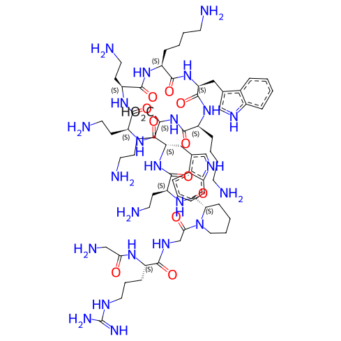 N=C(N)NCCC[C@H](NC(=O)CN)C(=O)NCC(=O)N1CCCC[C@H]1C(=O)N[C@@H](CCN)C(=O)N[C@@H](Cc1c[nH]c2ccccc12)C(=O)N[C@@H](CCN)C(=O)N[C@@H](CCN)C(=O)N[C@@H](CCCCN)C(=O)N[C@@H](Cc1c[nH]c2ccccc12)C(=O)N[C@@H](CCCCN)C(=O)N[C@@H](CCCCN)C(=O)O